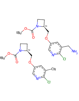 CC(C)(C)OC(=O)N1CC[C@H]1COc1cnc(Cl)c(C#N)c1.CC(C)(C)OC(=O)N1CC[C@H]1COc1cnc(Cl)c(CN)c1